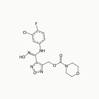 O=C(OCc1nonc1C(=NO)Nc1ccc(F)c(Cl)c1)N1CCOCC1